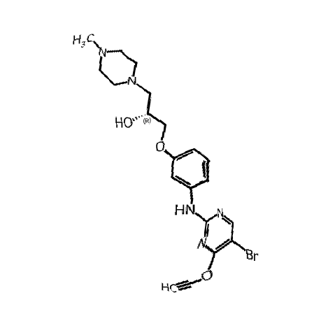 C#COc1nc(Nc2cccc(OC[C@H](O)CN3CCN(C)CC3)c2)ncc1Br